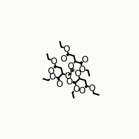 CCOC(=O)CC(OP(OC(CC(=O)OCC)C(=O)OCC)OC(CC(=O)OCC)C(=O)OCC)C(=O)OCC